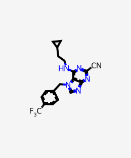 N#Cc1nc(NCCC2CC2)c2c(ncn2Cc2ccc(C(F)(F)F)cc2)n1